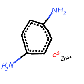 Nc1ccc(N)cc1.[O-2].[Zn+2]